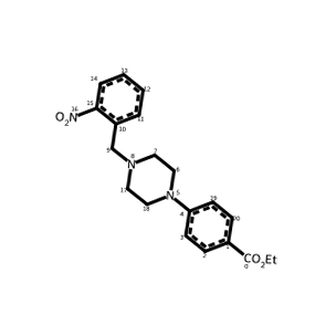 CCOC(=O)c1ccc(N2CCN(Cc3ccccc3[N+](=O)[O-])CC2)cc1